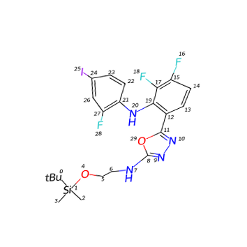 CC(C)(C)[Si](C)(C)OCCNc1nnc(-c2ccc(F)c(F)c2Nc2ccc(I)cc2F)o1